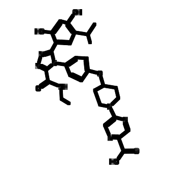 CCNC(=O)c1nnc(-c2cc(C(C)C)c(O)cc2O)n1-c1ccc(OC2CCN(c3cnc(C(=O)O)cn3)CC2)cc1